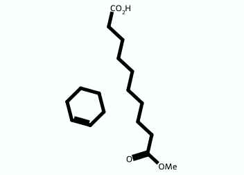 C1=CCCCC1.COC(=O)CCCCCCCCC(=O)O